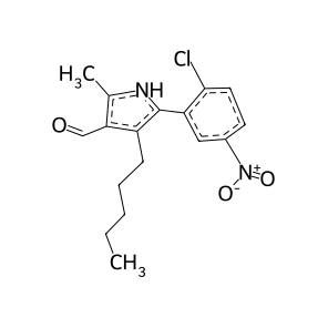 CCCCCc1c(-c2cc([N+](=O)[O-])ccc2Cl)[nH]c(C)c1C=O